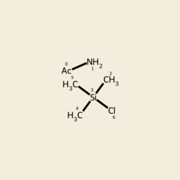 CC(N)=O.C[Si](C)(C)Cl